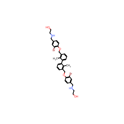 Cc1c(COc2ccc(CNCCO)cc2Br)cccc1-c1cccc(COc2ccc(CNCCO)cc2Br)c1C